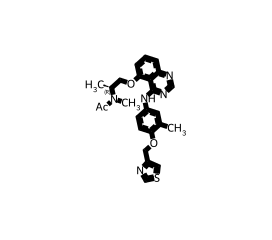 CC(=O)N(C)[C@H](C)COc1cccc2ncnc(Nc3ccc(OCc4cscn4)c(C)c3)c12